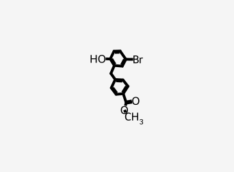 COC(=O)c1ccc(Cc2cc(Br)ccc2O)cc1